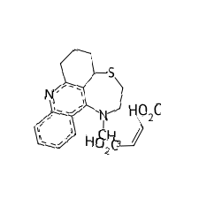 CN1CCSC2CCCc3nc4ccccc4c1c32.O=C(O)/C=C\C(=O)O